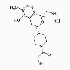 Cc1ccc2c(c1O)C[C@@H](C1CCN(C(=O)CC(C)C)CC1)O[C@H]2CN.Cl